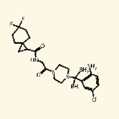 BC(B)(c1cc(Cl)ccc1N)N1CCN(C(=O)CNC(=O)C2CC23CCC(F)(F)CC3)CC1